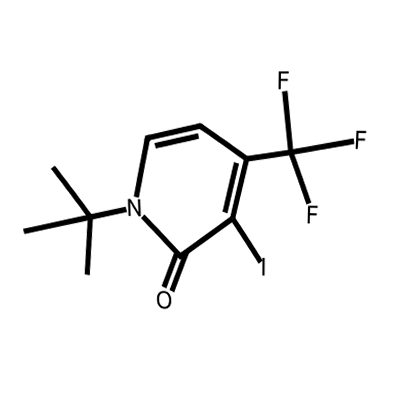 CC(C)(C)n1ccc(C(F)(F)F)c(I)c1=O